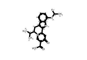 CC(=O)c1cn2c(cc1=O)-c1oc3c(OC(C)F)cccc3c1CC2C(C)C